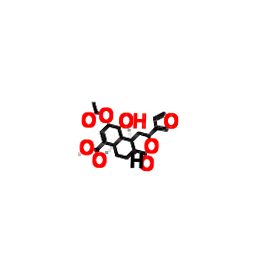 COC(=O)C1=C[C@H](OC(C)=O)[C@H](O)C2[C@@]1(C)CC[C@H]1C(=O)O[C@H](c3ccoc3)C[C@]21C